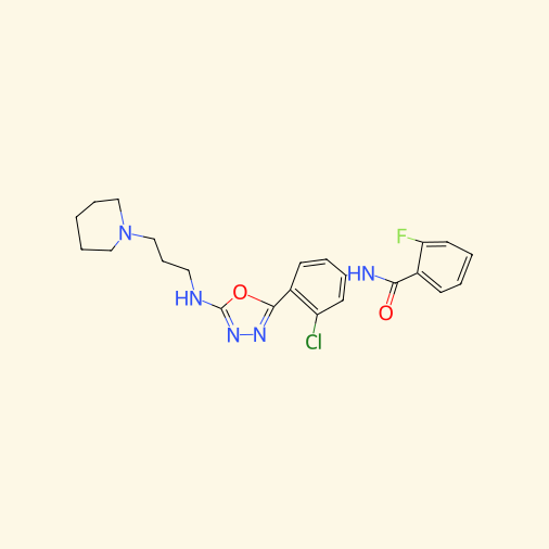 O=C(Nc1ccc(-c2nnc(NCCCN3CCCCC3)o2)c(Cl)c1)c1ccccc1F